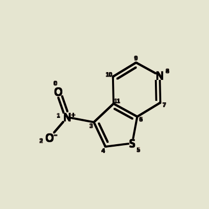 O=[N+]([O-])c1csc2cnccc12